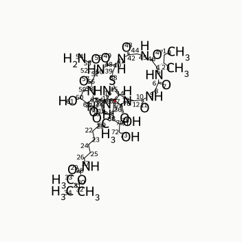 CCC(C)[C@@H]1NC(=O)CNC(=O)C2Cc3c([nH]c4cc(OCCCCCCNC(=O)OC(C)(C)C)ccc34)SCC(NC(=O)CNC1=O)C(=O)N[C@@H](CC(N)=O)C(=O)N1CC(O)C[C@H]1C(=O)N[C@@H]([C@@H](C)[C@@H](O)CO)C(=O)N2